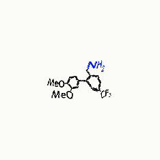 COc1ccc(-c2cc(C(F)(F)F)ccc2CN)cc1OC